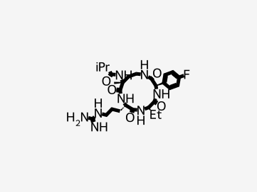 CC[C@@H]1NC(=O)[C@H](CCCNC(=N)N)NC(=O)[C@](C)(NC(=O)C(C)C)CCNC(=O)[C@@H](c2ccc(F)cc2)NC1=O